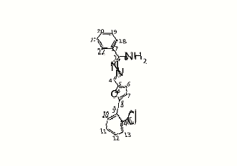 N/C(=N\N=C\c1ccc(-c2ccccc2Cl)o1)c1ccccc1